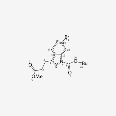 COC(=O)CCc1cn(C(=O)OC(C)(C)C)c2cc(Br)ccc12